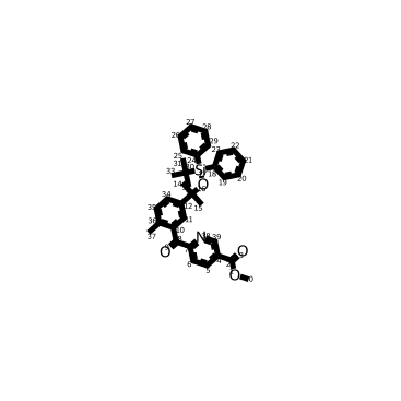 COC(=O)c1ccc(C(=O)c2cc(C(C)(C)O[Si](c3ccccc3)(c3ccccc3)C(C)(C)C)ccc2C)nc1